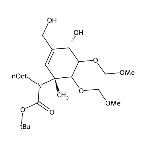 CCCCCCCCN(C(=O)OC(C)(C)C)[C@]1(C)C=C(CO)[C@H](O)C(OCOC)C1OCOC